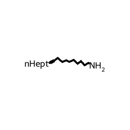 CCCCCCCC#CCCCCCCCCCN